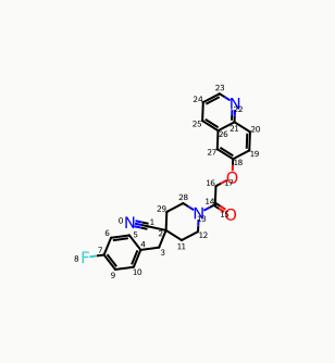 N#CC1(Cc2ccc(F)cc2)CCN(C(=O)COc2ccc3ncccc3c2)CC1